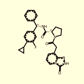 O=C(N[C@@H](c1ccccc1)c1ccc(C2CC2)c(F)c1)[C@@H]1CCCN1C(=O)Cc1cccn2c(=O)[nH]nc12